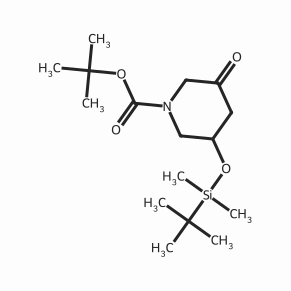 CC(C)(C)OC(=O)N1CC(=O)CC(O[Si](C)(C)C(C)(C)C)C1